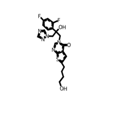 O=c1c2cc(CCCCO)sc2ncn1CC(O)(Cn1cncn1)c1ccc(F)cc1F